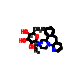 C[N+]1([C@@H]2OC(C(=O)O)[C@@H](O)C(O)C2O)CCN2c3ncccc3Cc3ccccc3C2C1